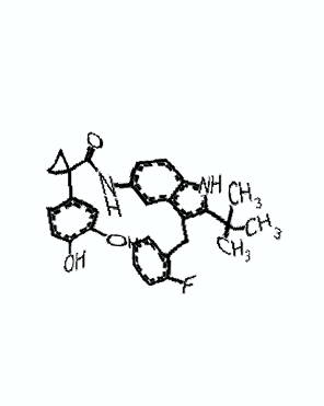 CC(C)(C)c1[nH]c2ccc(NC(=O)C3(c4ccc(O)c(O)c4)CC3)cc2c1Cc1ccccc1F